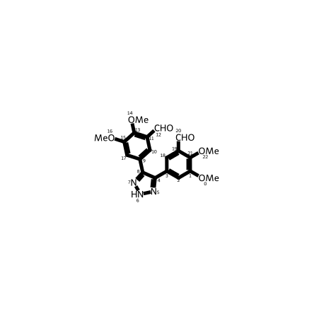 COc1cc(-c2n[nH]nc2-c2cc(C=O)c(OC)c(OC)c2)cc(C=O)c1OC